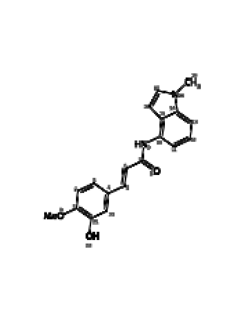 COc1ccc(C=CC(=O)Nc2cccc3c2ccn3C)cc1O